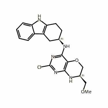 COC[C@@H]1COc2c(nc(Cl)nc2N[C@@H]2CCc3[nH]c4ccccc4c3C2)N1